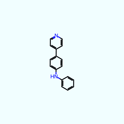 c1ccc(Nc2ccc(-c3ccncc3)cc2)cc1